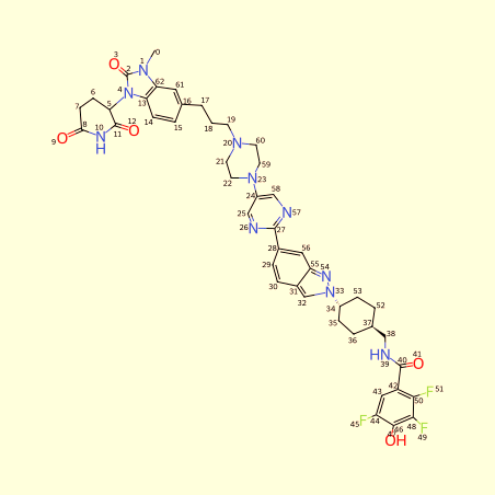 Cn1c(=O)n(C2CCC(=O)NC2=O)c2ccc(CCCN3CCN(c4cnc(-c5ccc6cn([C@H]7CC[C@H](CNC(=O)c8cc(F)c(O)c(F)c8F)CC7)nc6c5)nc4)CC3)cc21